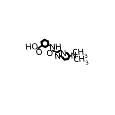 CN(C)c1ccc2nc(C(=O)Nc3cccc(C(=O)O)c3)cn2c1